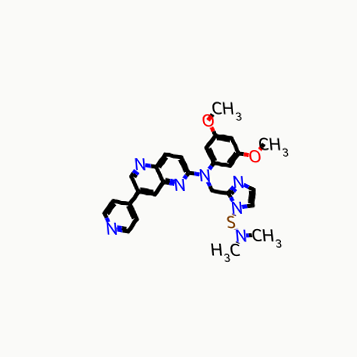 COc1cc(OC)cc(N(Cc2nccn2SN(C)C)c2ccc3ncc(-c4ccncc4)cc3n2)c1